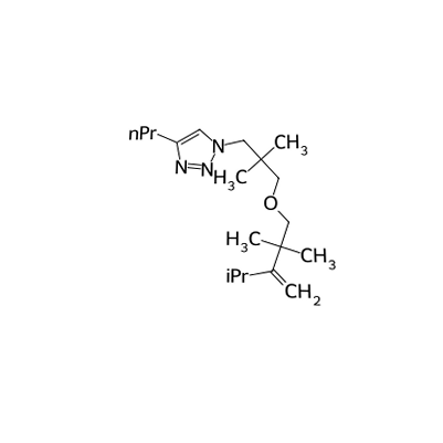 C=C(C(C)C)C(C)(C)COCC(C)(C)Cn1cc(CCC)nn1